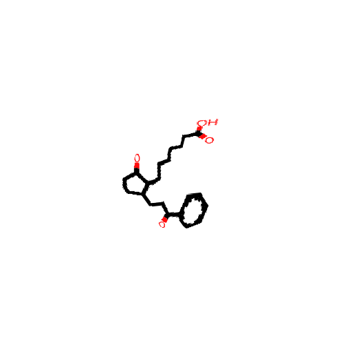 O=C(O)CCCCCCC1C(=O)CCC1CCC(=O)c1ccccc1